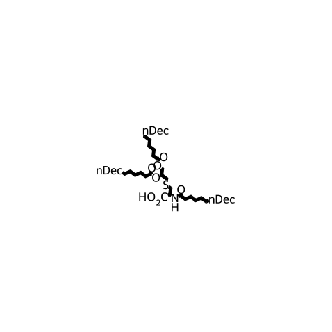 CCCCCCCCCCCCCCCC(=O)NC(CSCC(COC(=O)CCCCCCCCCCCCCCC)OC(=O)CCCCCCCCCCCCCCC)C(=O)O